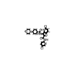 O=C(Nc1ccc(Cl)cn1)c1oc2ccc(Cl)nc2c1NC(=O)[C@H]1CC[C@H](N2CCOCC2)CC1